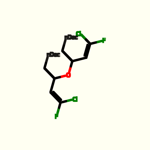 CCCCCCCCCCCC(C=C(F)Cl)OC(C=C(F)Cl)CCCCCCCCCCC